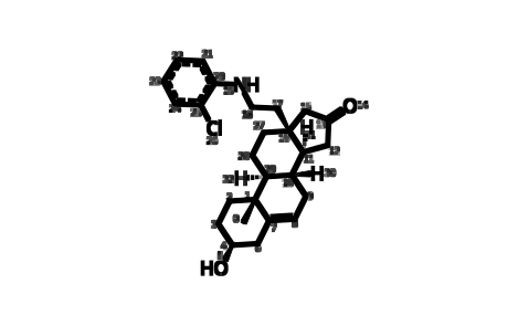 C[C@]12CC[C@H](O)CC1=CC[C@H]1[C@@H]3CC(=O)C[C@@]3(CCNc3ccccc3Cl)CC[C@@H]12